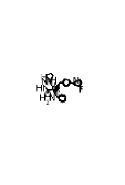 NN(c1ccccc1)c1nn(Cc2ccc(-c3cc(F)ccn3)cc2)c2c1C(=O)NC1=N[C@@H]3CCC[C@@H]3N12